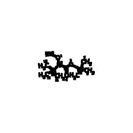 CCON(C(=O)O[Si](C)(C)C)[Si](C)(C)C